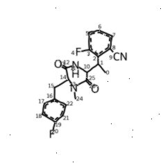 CC(c1c(F)cccc1C#N)C1NC(=O)C(Cc2ccc(F)cc2)N(C)C1=O